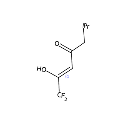 CC(C)CC(=O)/C=C(\O)C(F)(F)F